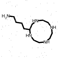 NCCCCC1CNCCNCCNCCN1